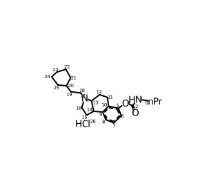 CCCNC(=O)Oc1cccc2c1CCC1C2CCN1CCC1CCCCC1.Cl